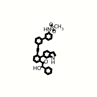 CS(=O)(=O)Nc1cccc(-c2cccc(C#Cc3cccc(C(=O)C(O)c4ccccc4)c3-c3ccc4cc[nH]c4c3)c2)c1